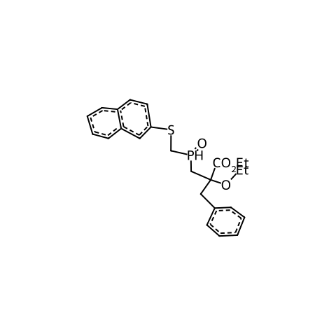 CCOC(=O)C(Cc1ccccc1)(C[PH](=O)CSc1ccc2ccccc2c1)OCC